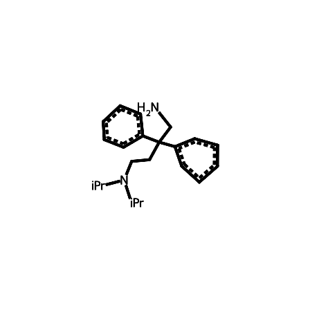 CC(C)N(CCC(CN)(c1ccccc1)c1ccccc1)C(C)C